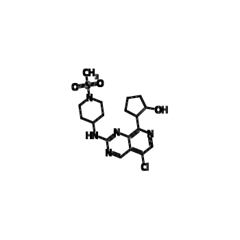 CS(=O)(=O)N1CCC(Nc2ncc3c(Cl)cnc(C4CCCC4O)c3n2)CC1